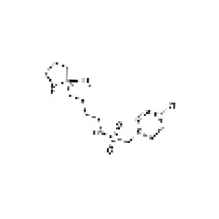 C[C@]1(CCCCNS(=O)(=O)Cc2ccc(Cl)cc2)CCCN1